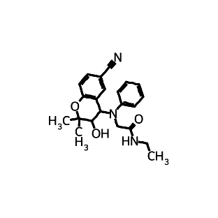 CCNC(=O)CN(c1ccccc1)C1c2cc(C#N)ccc2OC(C)(C)C1O